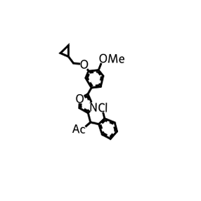 COc1ccc(-c2nc(C(C(C)=O)c3ccccc3Cl)co2)cc1OCC1CC1